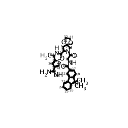 C[C@@H](NC(=O)C1CC2(CN1C(=O)CNC(=O)c1ccc3c(c1)-c1ccccc1C3(C)C)OCCO2)c1cc(C(=N)N)cs1